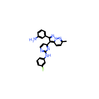 Cc1ccc2c(-c3ccnc(Nc4cccc(F)c4)n3)c(-c3cccc(N)c3)nn2n1